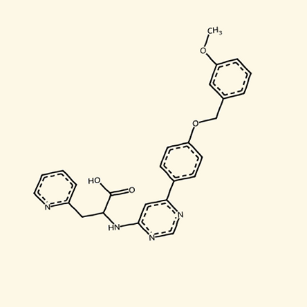 COc1cccc(COc2ccc(-c3cc(NC(Cc4ccccn4)C(=O)O)ncn3)cc2)c1